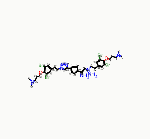 CN(C)CCCOc1c(Br)cc(CCN(N)/C=C(\N)c2ccc(-c3cn(CCc4cc(Br)c(OCCCN(C)C)c(Br)c4)nn3)cc2)cc1Br